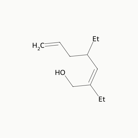 C=CCC(C=C(CC)CO)CC